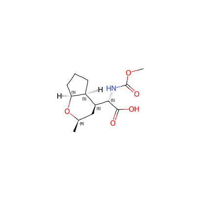 COC(=O)N[C@H](C(=O)O)[C@H]1C[C@@H](C)O[C@H]2CCC[C@@H]12